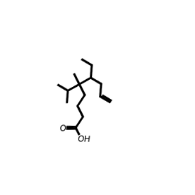 C=CCC(CC)C(C)(CCCC(=O)O)C(C)C